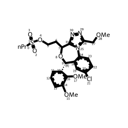 CCCS(=O)(=O)OCCC1O[C@@H](c2cccc(OC)c2OC)c2cc(Cl)ccc2-n2c(COC)nnc21